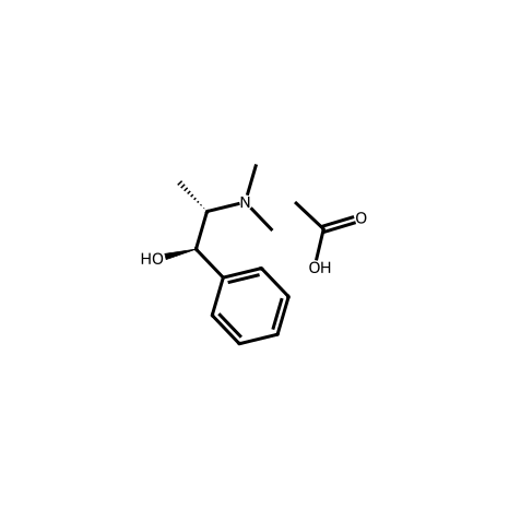 CC(=O)O.C[C@@H]([C@H](O)c1ccccc1)N(C)C